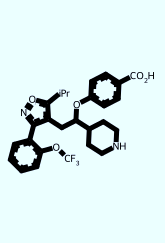 CC(C)c1onc(-c2ccccc2OC(F)(F)F)c1CC(Oc1ccc(C(=O)O)cc1)C1CCNCC1